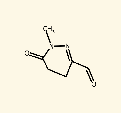 CN1N=C(C=O)CCC1=O